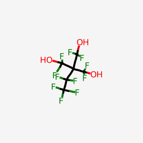 OC(F)(F)C(C(O)(F)F)(C(O)(F)F)C(F)(F)C(F)(F)F